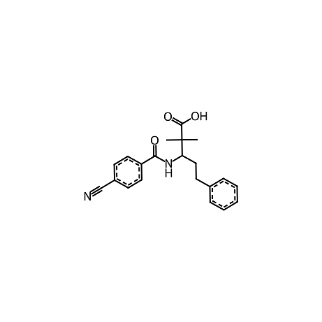 CC(C)(C(=O)O)C(CCc1ccccc1)NC(=O)c1ccc(C#N)cc1